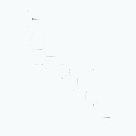 CCCS(=O)(=O)C(C(=O)NCC(=O)NC1CC1)c1nc2cc(F)c(-c3ccc(NC(N)=O)cc3)cc2s1